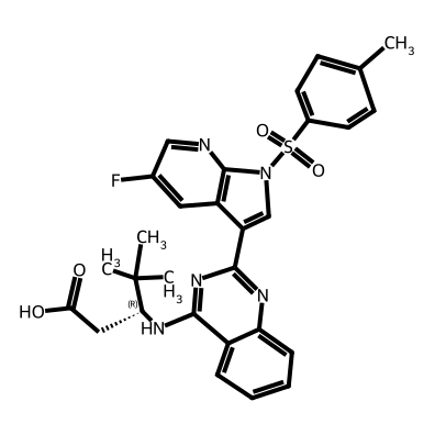 Cc1ccc(S(=O)(=O)n2cc(-c3nc(N[C@H](CC(=O)O)C(C)(C)C)c4ccccc4n3)c3cc(F)cnc32)cc1